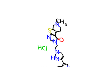 COc1ccc2c(c1)c(C1=CCN(CCn3cnc4sc5c(c4c3=O)CCN(C)C5)CN1)cn2C.Cl